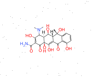 CN(C)C1C(O)=C(C(N)=O)C(=O)[C@@]2(O)C(O)=C3C(=O)c4c(O)cccc4[C@@](C)(O)[C@H]3[C@H](O)[C@H]12